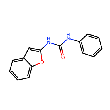 O=C(Nc1ccccc1)Nc1cc2ccccc2o1